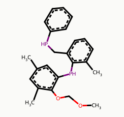 COCOc1c(C)cc(C)cc1Pc1c(C)cccc1CPc1ccccc1